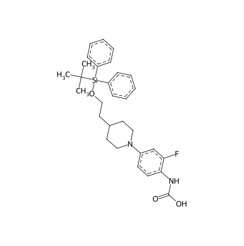 CC(C)(C)[Si](OCCC1CCN(c2ccc(NC(=O)O)c(F)c2)CC1)(c1ccccc1)c1ccccc1